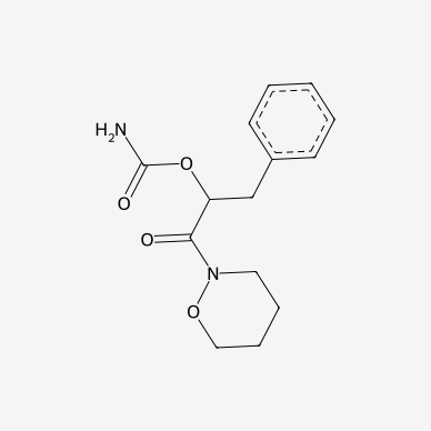 NC(=O)OC(Cc1ccccc1)C(=O)N1CCCCO1